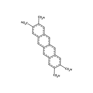 O=C(O)c1cc2cc3cc4cc(C(=O)O)c(C(=O)O)cc4cc3cc2cc1C(=O)O